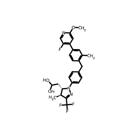 COc1cc(-c2ccc(Cc3ccc(N4N=C(C(F)(F)F)[C@@H](C)[C@@H]4CC(O)O)cc3)c(C)c2)c(F)cn1